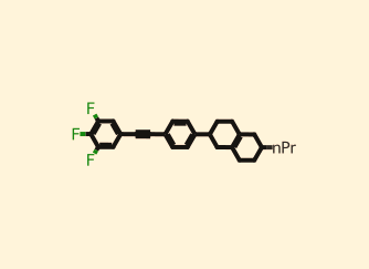 CCCC1CCC2=C(CCC(c3ccc(C#Cc4cc(F)c(F)c(F)c4)cc3)C2)C1